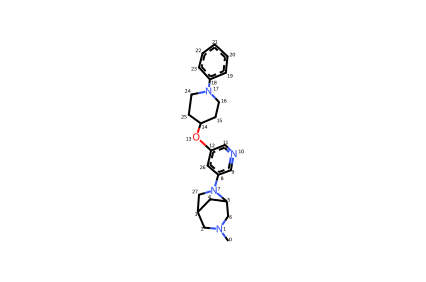 CN1CC2CC(C1)N(c1cncc(OC3CCN(c4ccccc4)CC3)c1)C2